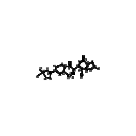 Cc1cc2[nH]cc(C(=O)Nc3ccc(N4CCC(C)(C)C4)cc3C(F)(F)F)c(=O)n2c1